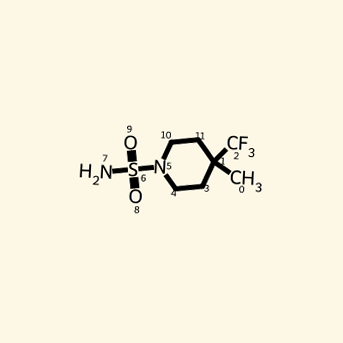 CC1(C(F)(F)F)CCN(S(N)(=O)=O)CC1